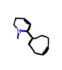 CN1CCC=CC1C1CCC=CCC1